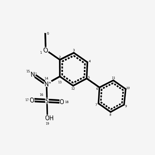 COc1ccc(-c2ccccc2)cc1[N+](=[N-])S(=O)(=O)O